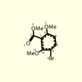 COC(=O)c1c(OC)ccc(Br)c1OC